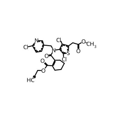 C#CCOC(=O)C1=C(C(=O)N(Cc2ccc(Cl)nc2)c2c(Cl)sc(CC(=O)OC)c2Cl)CCCC1